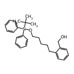 CC(C)(C)[Si](OCCCCCc1ccccc1CO)(c1ccccc1)c1ccccc1